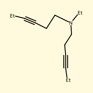 [CH2]CN(CCC#CCC)CCC#CCC